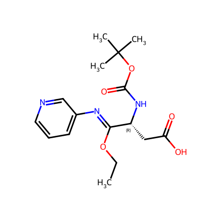 CCOC(=Nc1cccnc1)[C@@H](CC(=O)O)NC(=O)OC(C)(C)C